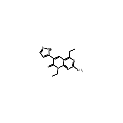 CCc1nc(N)nc2c1cc(-c1ccn[nH]1)c(=O)n2CC